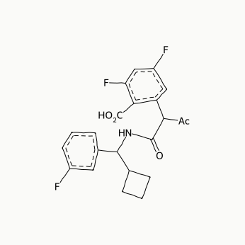 CC(=O)C(C(=O)NC(c1cccc(F)c1)C1CCC1)c1cc(F)cc(F)c1C(=O)O